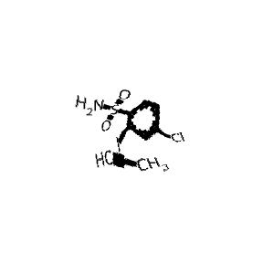 C#CC.NS(=O)(=O)c1ccc(Cl)cc1I